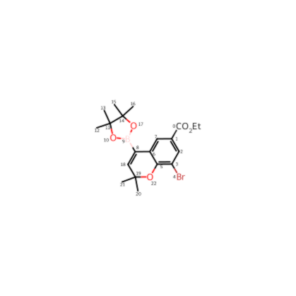 CCOC(=O)c1cc(Br)c2c(c1)C(B1OC(C)(C)C(C)(C)O1)=CC(C)(C)O2